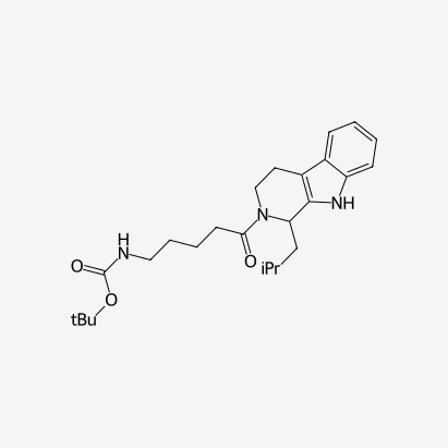 CC(C)CC1c2[nH]c3ccccc3c2CCN1C(=O)CCCCNC(=O)OC(C)(C)C